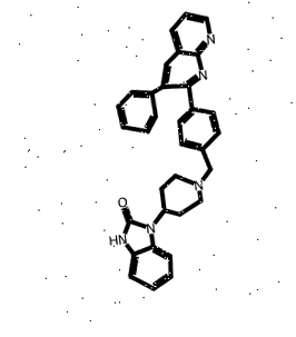 O=c1[nH]c2ccccc2n1C1CCN(Cc2ccc(-c3nc4ncccc4cc3-c3ccccc3)cc2)CC1